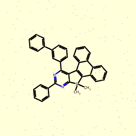 C[Si]1(C)c2nc(-c3ccccc3)nc(-c3cccc(-c4ccccc4)c3)c2-c2c1c1ccccc1c1ccccc21